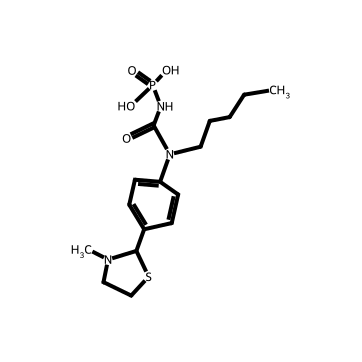 CCCCCN(C(=O)NP(=O)(O)O)c1ccc(C2SCCN2C)cc1